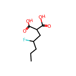 CCCC(F)CC(C(=O)O)C(=O)O